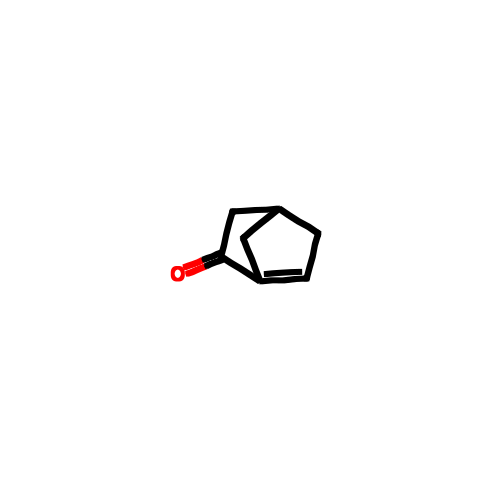 O=C1CC2CC=C1C2